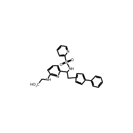 O=C(O)CNc1cccc(C(Cc2ccc(-c3ccccc3)cc2)NS(=O)(=O)c2ccccn2)n1